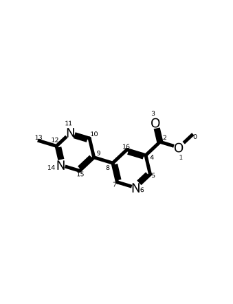 COC(=O)c1cncc(-c2cnc(C)nc2)c1